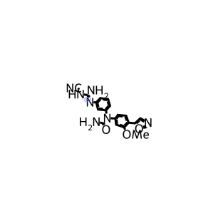 COc1cc(N(C(N)=O)c2cccc(/N=C(\N)NC#N)c2)ccc1-c1cnco1